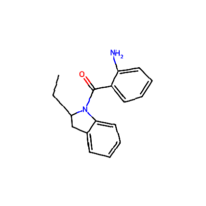 CCC1Cc2ccccc2N1C(=O)c1ccccc1N